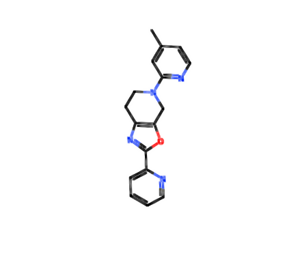 Cc1ccnc(N2CCc3nc(-c4ccccn4)oc3C2)c1